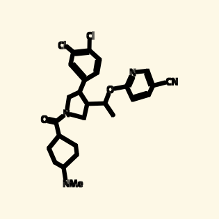 CNC1CCC(C(=O)N2CC(c3ccc(Cl)c(Cl)c3)C(C(C)Oc3ccc(C#N)cn3)C2)CC1